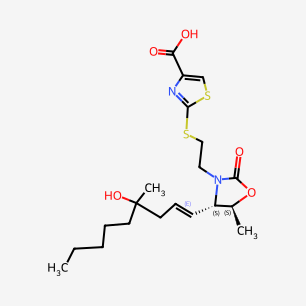 CCCCCC(C)(O)C/C=C/[C@H]1[C@H](C)OC(=O)N1CCSc1nc(C(=O)O)cs1